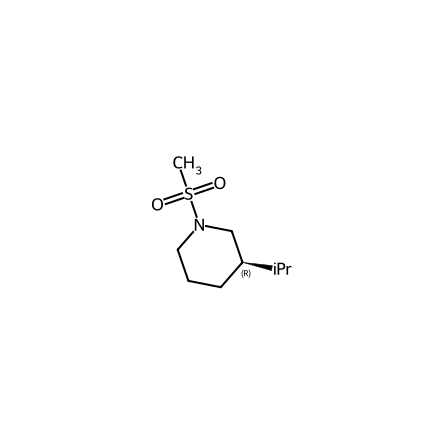 CC(C)[C@H]1CCCN(S(C)(=O)=O)C1